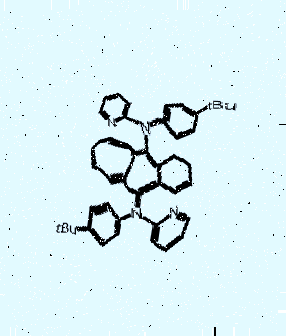 CC(C)(C)c1ccc(N(c2ccccn2)c2c3c(c(N(c4ccc(C(C)(C)C)cc4)c4ccccn4)c4ccccc24)CCC=C3)cc1